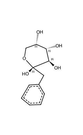 O[C@@H]1[C@@H](O)[C@](O)(Cc2ccccc2)OC[C@@H]1O